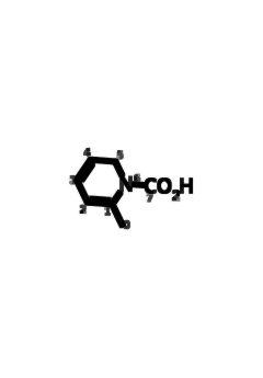 CC1=CC=CCN1C(=O)O